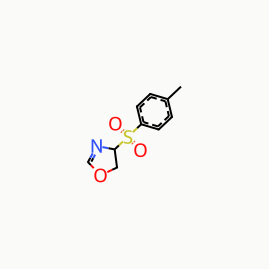 Cc1ccc(S(=O)(=O)C2COC=N2)cc1